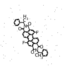 CC(c1ccccc1)N1C(=O)c2ccc3c4c(F)cc5c6c(ccc(c7c(F)cc(c2c37)C1=O)c64)C(=O)N(C(C)c1ccccc1)C5=O